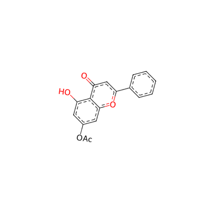 CC(=O)Oc1cc(O)c2c(=O)cc(-c3ccccc3)oc2c1